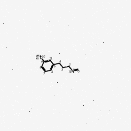 C=NCCCc1cccc(CC)c1